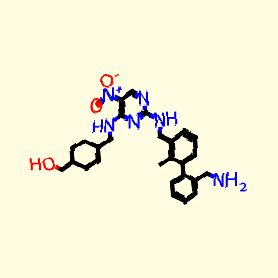 Cc1c(CNc2ncc([N+](=O)[O-])c(NCC3CCC(CO)CC3)n2)cccc1-c1ccccc1CN